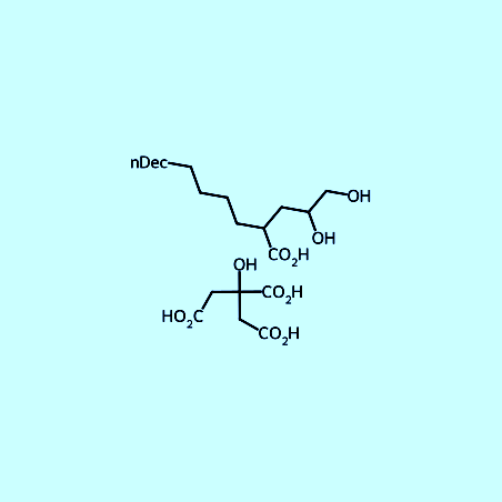 CCCCCCCCCCCCCCC(CC(O)CO)C(=O)O.O=C(O)CC(O)(CC(=O)O)C(=O)O